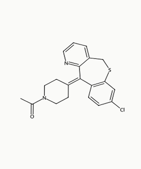 CC(=O)N1CCC(=C2c3ccc(Cl)cc3SCc3cccnc32)CC1